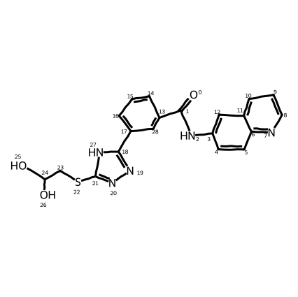 O=C(Nc1ccc2ncccc2c1)c1cccc(-c2nnc(SCC(O)O)[nH]2)c1